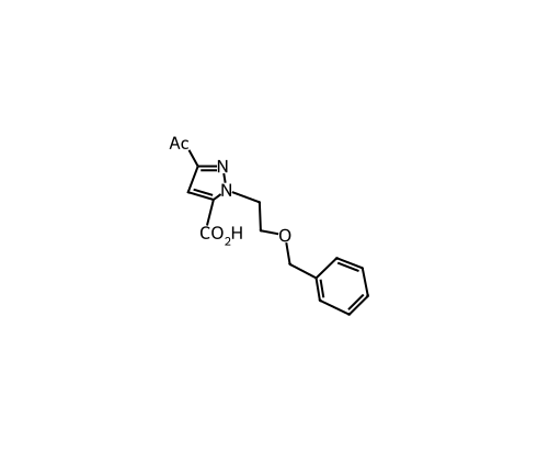 CC(=O)c1cc(C(=O)O)n(CCOCc2ccccc2)n1